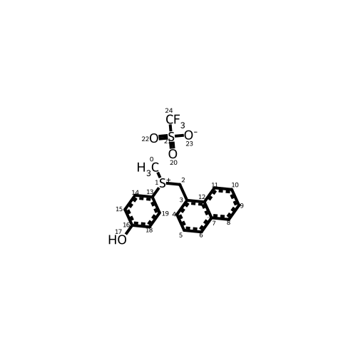 C[S+](Cc1cccc2ccccc12)c1ccc(O)cc1.O=S(=O)([O-])C(F)(F)F